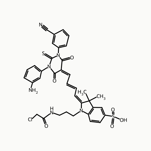 CC1(C)\C(=C/C=C/C=C2\C(=O)N(c3cccc(N)c3)C(=S)N(c3cccc(C#N)c3)C2=O)N(CCCNC(=O)CCl)c2ccc(S(=O)(=O)O)cc21